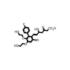 CC(C)c1cc(OCCO)c(OCCO)c(-c2ccc(F)cc2)c1C=CC(O)CC(=O)CC(=O)O